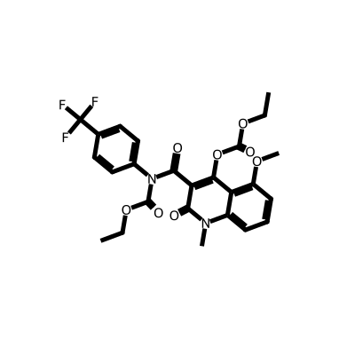 CCOC(=O)Oc1c(C(=O)N(C(=O)OCC)c2ccc(C(F)(F)F)cc2)c(=O)n(C)c2cccc(OC)c12